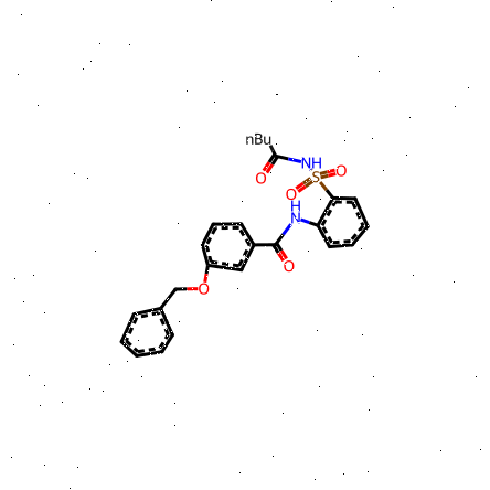 CCCCC(=O)NS(=O)(=O)c1ccccc1NC(=O)c1cccc(OCc2ccccc2)c1